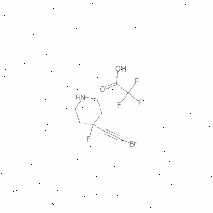 FC1(C#CBr)CCNCC1.O=C(O)C(F)(F)F